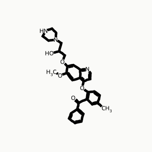 COc1cc2c(Oc3ccc(C)cc3C(=O)c3ccccc3)ccnc2cc1OCC(O)CN1CCNCC1